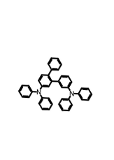 c1ccc(-c2ccc(N(c3ccccc3)c3ccccc3)cc2-c2cccc(N(c3ccccc3)c3ccccc3)c2)cc1